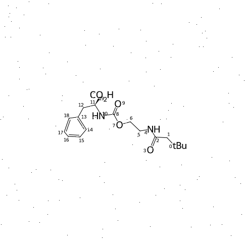 CC(C)(C)CC(=O)NCCOC(=O)N[C@@H](Cc1ccccc1)C(=O)O